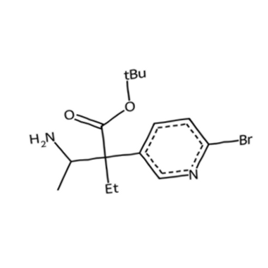 CCC(C(=O)OC(C)(C)C)(c1ccc(Br)nc1)C(C)N